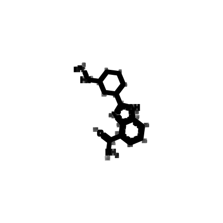 CCCNC1CCCC(c2nc3c(C(N)=O)cccc3[nH]2)C1